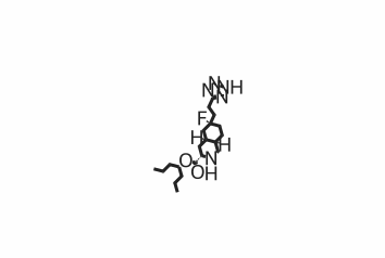 CCCC(CCC)OC(=O)[C@@H]1C[C@H]2C[C@@](F)(CCc3nn[nH]n3)CC[C@H]2CN1